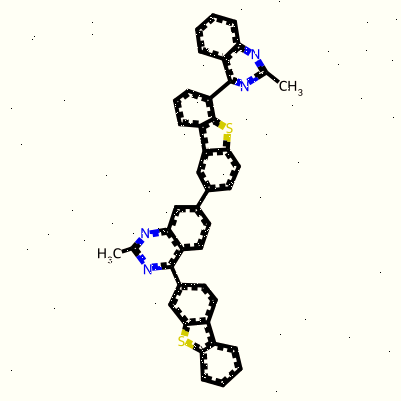 Cc1nc(-c2ccc3c(c2)sc2ccccc23)c2ccc(-c3ccc4sc5c(-c6nc(C)nc7ccccc67)cccc5c4c3)cc2n1